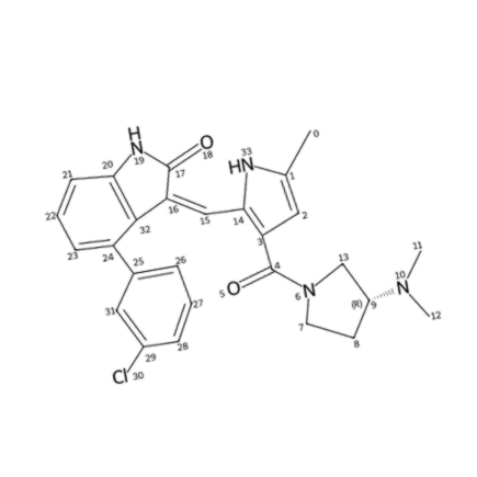 Cc1cc(C(=O)N2CC[C@@H](N(C)C)C2)c(C=C2C(=O)Nc3cccc(-c4cccc(Cl)c4)c32)[nH]1